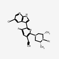 C#Cc1cc(F)c(-c2c[nH]c3ncc(Cl)cc23)nc1N1C[C@@H](C)N(C(C)=O)[C@@H](C)C1